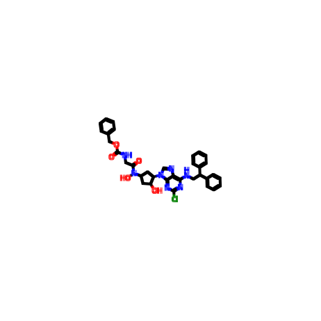 O=C(NCC(=O)N(O)C1C[C@@H](n2cnc3c(NCC(c4ccccc4)c4ccccc4)nc(Cl)nc32)[C@@H](O)C1)OCc1ccccc1